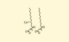 CCCCCCCCCCCC(=O)N(C)CC(=O)[O-].CCCCCCCCCCCC(=O)N(C)CC(=O)[O-].[Co+2]